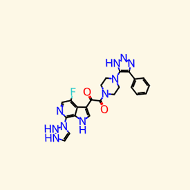 O=C(C(=O)N1CCN(c2[nH]nnc2-c2ccccc2)CC1)c1c[nH]c2c(N3C=CNN3)ncc(F)c12